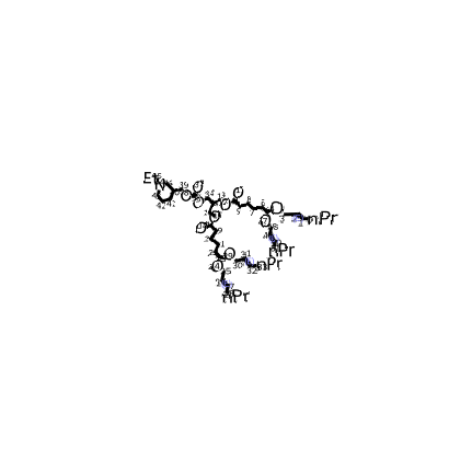 CCC/C=C/COC(CCCCC(=O)OCC(COC(=O)CCCCC(OC/C=C/CCC)OC/C=C/CCC)COC(=O)OCC1CCCN(CC)C1)OC/C=C/CCC